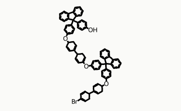 Oc1ccc(C2(c3ccc(OC4C=CC(C5C=CC(Oc6ccc(C7(c8ccc(OC9C=CC(C%10C=CC(Br)=CC%10)=CC9)cc8)c8ccccc8-c8ccccc87)cc6)=CC5)=CC4)cc3)c3ccccc3-c3ccccc32)cc1